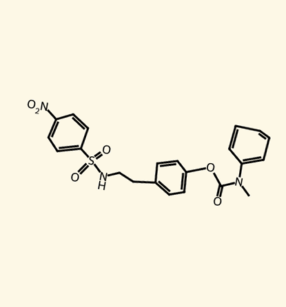 CN(C(=O)Oc1ccc(CCNS(=O)(=O)c2ccc([N+](=O)[O-])cc2)cc1)c1ccccc1